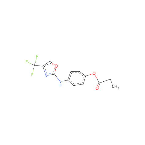 CCC(=O)Oc1ccc(Nc2nc(C(F)(F)F)co2)cc1